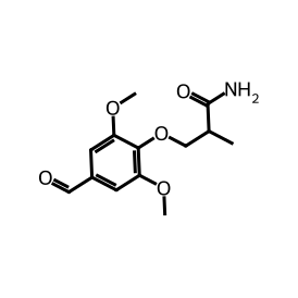 COc1cc(C=O)cc(OC)c1OCC(C)C(N)=O